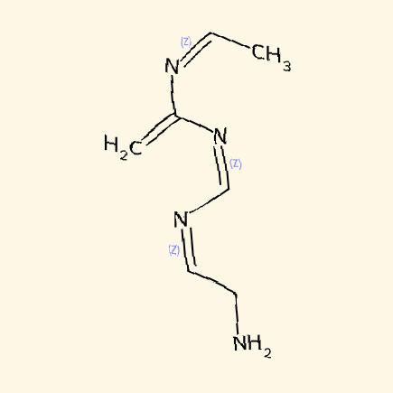 C=C(/N=C\C)/N=C\N=C/CN